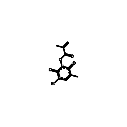 C=C(C)C(=O)On1c(=O)c(C)cn(CC)c1=O